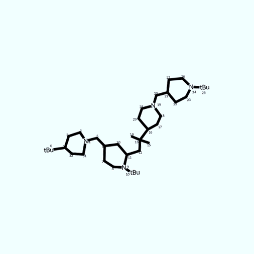 CC(C)(C)C1CCN(CC2CCN(C(C)(C)C)C(CC(C)(C)C3CCN(CC4CCN(C(C)(C)C)CC4)CC3)C2)CC1